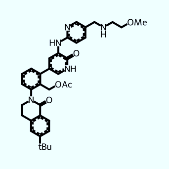 COCCNCc1ccc(Nc2cc(-c3cccc(N4CCc5cc(C(C)(C)C)ccc5C4=O)c3COC(C)=O)c[nH]c2=O)nc1